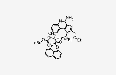 CCCCOC(=O)[C@H](C)N[P@](=O)(OC[C@H](CC)n1c(COCC)nc2c(N)nc3ccccc3c21)Oc1cccc2ccccc12